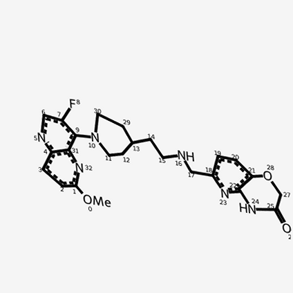 COc1ccc2ncc(F)c(N3CCC(CCNCc4ccc5c(n4)NC(=O)CO5)CC3)c2n1